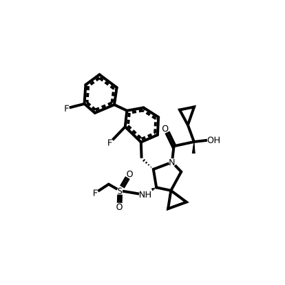 C[C@@](O)(C(=O)N1CC2(CC2)[C@H](NS(=O)(=O)CF)[C@@H]1Cc1cccc(-c2cccc(F)c2)c1F)C1CC1